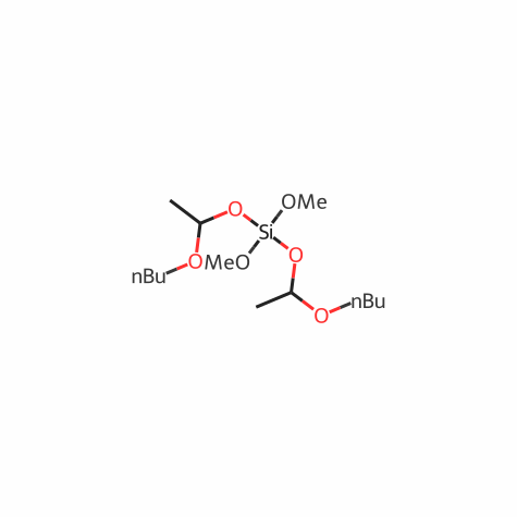 CCCCOC(C)O[Si](OC)(OC)OC(C)OCCCC